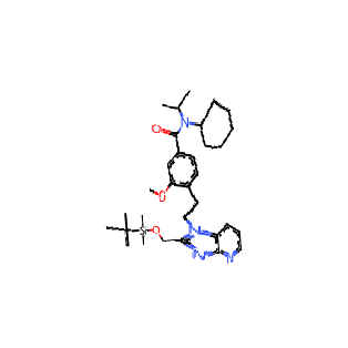 COc1cc(C(=O)N(C(C)C)C2CCCCC2)ccc1CCn1c(CO[Si](C)(C)C(C)(C)C)nc2ncccc21